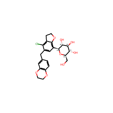 OC[C@H]1O[C@@H](c2cc(Cc3ccc4c(c3)OCCO4)c(Cl)c3c2OCC3)[C@H](O)[C@@H](O)[C@@H]1O